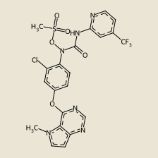 Cn1ccc2ncnc(Oc3ccc(N(OS(C)(=O)=O)C(=O)Nc4cc(C(F)(F)F)ccn4)c(Cl)c3)c21